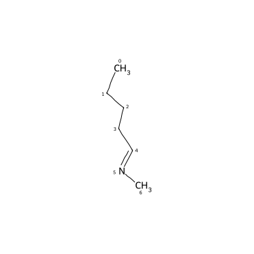 CCCC/C=N/C